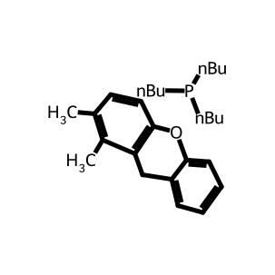 CCCCP(CCCC)CCCC.Cc1ccc2c(c1C)Cc1ccccc1O2